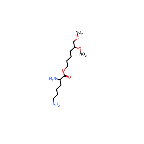 NCCCCC(N)C(=O)OCCCCC(CO[N+](=O)[O-])O[N+](=O)[O-]